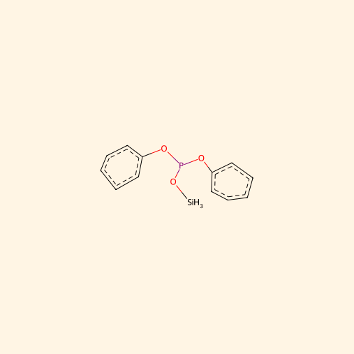 [SiH3]OP(Oc1ccccc1)Oc1ccccc1